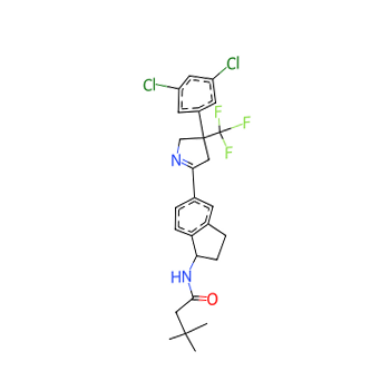 CC(C)(C)CC(=O)NC1CCc2cc(C3=NCC(c4cc(Cl)cc(Cl)c4)(C(F)(F)F)C3)ccc21